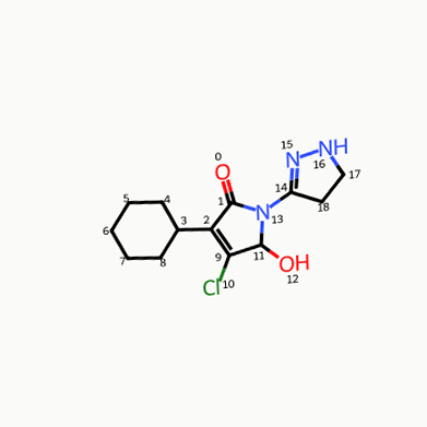 O=C1C(C2CCCCC2)=C(Cl)C(O)N1C1=NNCC1